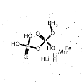 BOP(=O)(O)OP(=O)(O)O.[Fe].[LiH].[LiH].[Mn]